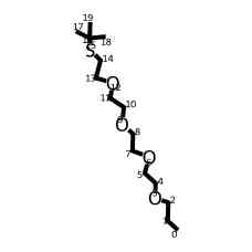 CCCOCCOCCOCCOCCSC(C)(C)C